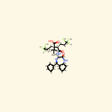 CC(C)(C)[C@](CCC(F)(F)F)(C(=O)O)[C@@H](CCC(F)(F)F)C(=O)N[C@H]1N=C(c2ccccc2)c2ccccc2NC1=O